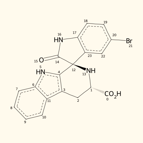 O=C(O)[C@@H]1Cc2c([nH]c3ccccc23)[C@]2(N1)C(=O)Nc1ccc(Br)cc12